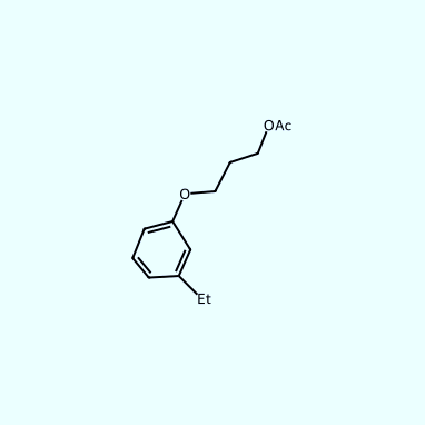 CCc1cccc(OCCCOC(C)=O)c1